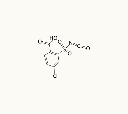 O=C=NS(=O)(=O)c1cc(Cl)ccc1C(=O)O